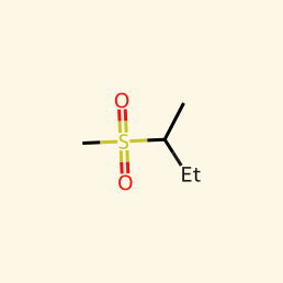 CCC(C)S(C)(=O)=O